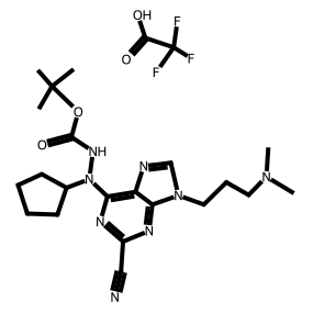 CN(C)CCCn1cnc2c(N(NC(=O)OC(C)(C)C)C3CCCC3)nc(C#N)nc21.O=C(O)C(F)(F)F